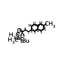 Cc1ccc2cc(CCC(=O)O[Si](C)(C)C(C)(C)C)ccc2c1